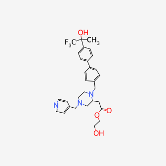 CC(O)(c1ccc(-c2ccc(CN3CCN(Cc4ccncc4)CC3CC(=O)OCCO)cc2)cc1)C(F)(F)F